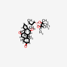 CC(CCB1OC(C)(C)C(C)(C)O1)[C@H]1CC[C@H]2[C@@H]3C(=O)C[C@@H]4CC(=O)CC[C@]4(C)[C@H]3CC(=O)[C@]12C